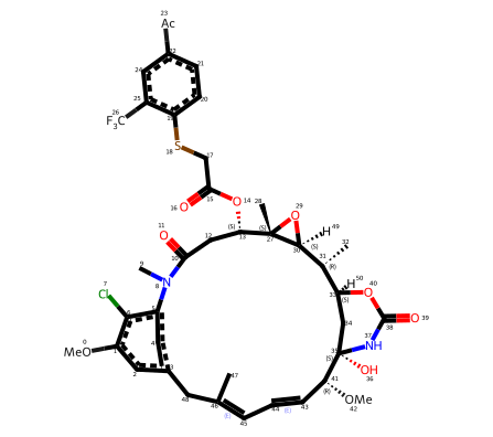 COc1cc2cc(c1Cl)N(C)C(=O)C[C@H](OC(=O)CSc1ccc(C(C)=O)cc1C(F)(F)F)[C@]1(C)O[C@H]1[C@H](C)[C@@H]1C[C@@](O)(NC(=O)O1)[C@H](OC)/C=C/C=C(\C)C2